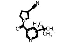 CC(C)(C)c1cncc(C(=O)N2CCC(C#N)C2)c1